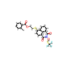 Cc1ccccc1C(=O)OCCSc1ccc2c3c(cccc13)C(=O)N(OSC(F)(F)F)C2=O